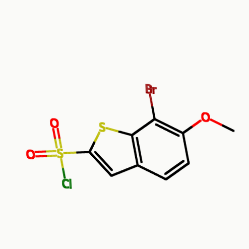 COc1ccc2cc(S(=O)(=O)Cl)sc2c1Br